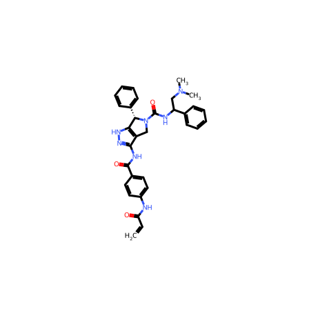 C=CC(=O)Nc1ccc(C(=O)Nc2n[nH]c3c2CN(C(=O)NC(CN(C)C)c2ccccc2)[C@H]3c2ccccc2)cc1